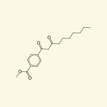 CCCCCCCC(=O)CC(=O)c1ccc(C(=O)OC)cc1